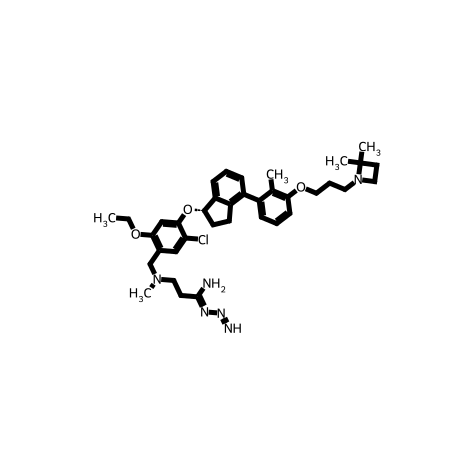 CCOc1cc(O[C@H]2CCc3c(-c4cccc(OCCCN5CCC5(C)C)c4C)cccc32)c(Cl)cc1CN(C)CC/C(N)=N/N=N